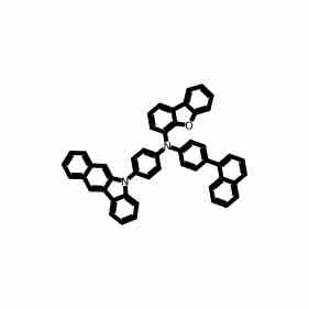 c1ccc2cc3c(cc2c1)c1ccccc1n3-c1ccc(N(c2ccc(-c3cccc4ccccc34)cc2)c2cccc3c2oc2ccccc23)cc1